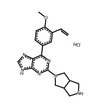 C=Cc1cc(-c2nc(N3CC4CNCC4C3)nc3[nH]cnc23)ccc1OC.Cl